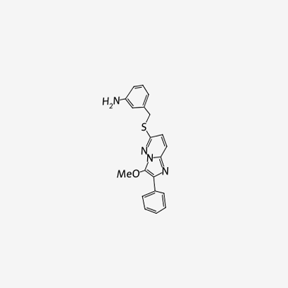 COc1c(-c2ccccc2)nc2ccc(SCc3cccc(N)c3)nn12